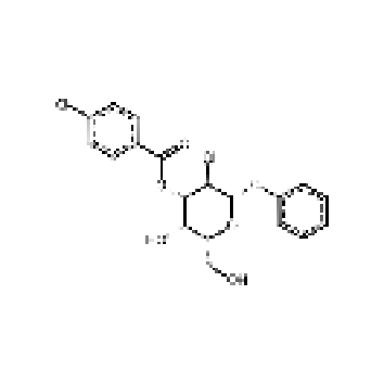 O=C(O[C@H]1[C@@H](O)[C@@H](CO)O[C@@H](Oc2ccccc2)[C@@H]1O)c1ccc(Cl)cc1